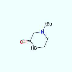 CC(C)(C)N1CCBC(=O)C1